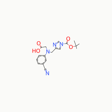 CC(C)(C)OC(=O)n1cnc(CN(CC(=O)O)c2cccc(C#N)c2)c1